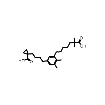 Cc1cc(CCCCC2(C(=O)O)CC2)cc(CCCCCC(C)(C)C(=O)O)c1C